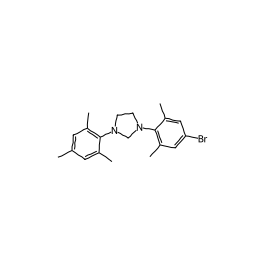 Cc1cc(C)c(N2CCN(c3c(C)cc(Br)cc3C)C2)c(C)c1